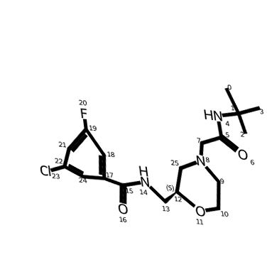 CC(C)(C)NC(=O)CN1CCO[C@@H](CNC(=O)c2cc(F)cc(Cl)c2)C1